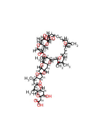 C=C1C[C@@H]2CC[C@@]34C[C@H]5O[C@H]6[C@@H](O3)[C@H]3O[C@H](CC[C@@H]3O[C@H]6[C@H]5O4)CC(=O)O[C@@H]3[C@@H](C)[C@@H]4O[C@@H]5C[C@]6(CC7O[C@@]8(C[C@H](C)C7O6)C[C@H](C)[C@@H]6O[C@H](CC(=O)O)[C@H](O)C[C@@H]6O8)O[C@@H]5CC4O[C@H]3C[C@H]3O[C@@H](CC[C@@H]1O2)C[C@@H](C)C3=C